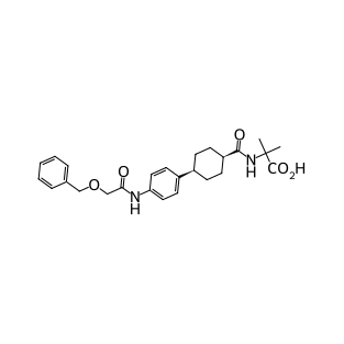 CC(C)(NC(=O)[C@H]1CC[C@@H](c2ccc(NC(=O)COCc3ccccc3)cc2)CC1)C(=O)O